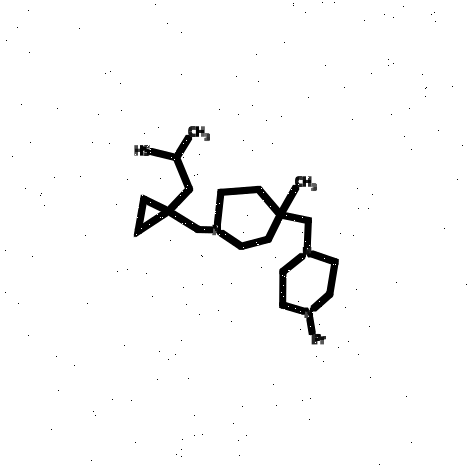 CC(S)CC1(CN2CCC(C)(CN3CCN(C(C)C)CC3)CC2)CC1